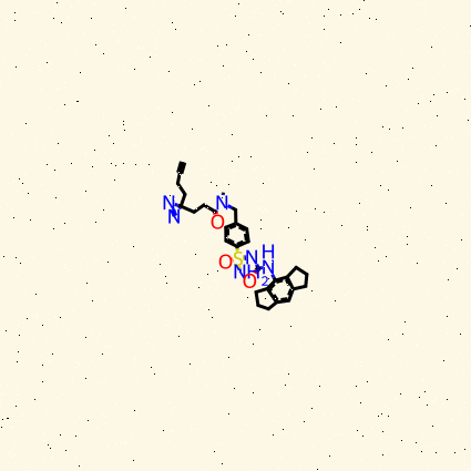 C#CCCC1(CCC(=O)N(C)Cc2ccc(S(N)(=O)=NC(=O)Nc3c4c(cc5c3CCC5)CCC4)cc2)N=N1